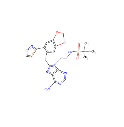 CC(C)(C)S(=O)(=O)NCCn1c(Sc2cc3c(cc2-c2nccs2)OCO3)nc2c(N)ncnc21